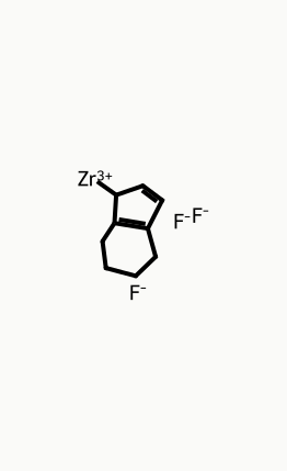 [F-].[F-].[F-].[Zr+3][CH]1C=CC2=C1CCCC2